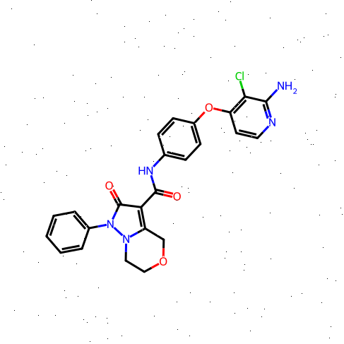 Nc1nccc(Oc2ccc(NC(=O)c3c4n(n(-c5ccccc5)c3=O)CCOC4)cc2)c1Cl